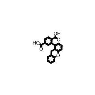 O=C(O)c1ccc(C(=O)O)c(-c2cccc3c2Cc2ccccc2O3)c1